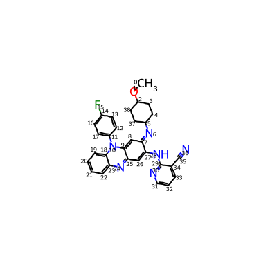 COC1CCC(/N=c2\cc3n(-c4ccc(F)cc4)c4ccccc4nc-3cc2Nc2ncccc2C#N)CC1